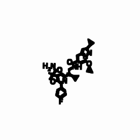 C[C@]1(C(N)=O)COc2c1cc([C@@H](CNC(=O)c1cc(OC3CC3)n3nc(C4CC4)cc3c1)C1CC1)nc2-c1ccc(F)cc1